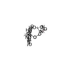 C=CC(=O)N1C[C@H](C(=O)N(C)C(C(=O)N[C@H]2Cc3cccc(c3)-c3ccc4c(c3)c(c(-c3cccnc3[C@H](C)OC)n4CC)CC(C)(C)COC(=O)[C@@H]3CCCN(N3)C2=O)C(C)C)[C@H]1C